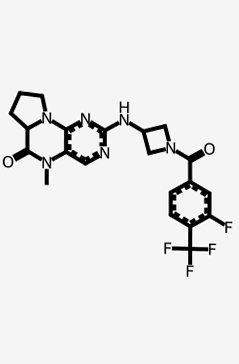 CN1C(=O)C2CCCN2c2nc(NC3CN(C(=O)c4ccc(C(F)(F)F)c(F)c4)C3)ncc21